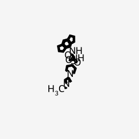 CCN1CC(N2CCC(S(=O)(=O)NC(=O)Nc3c4c(cc5c3CCC5)CCC4)CC2)C1